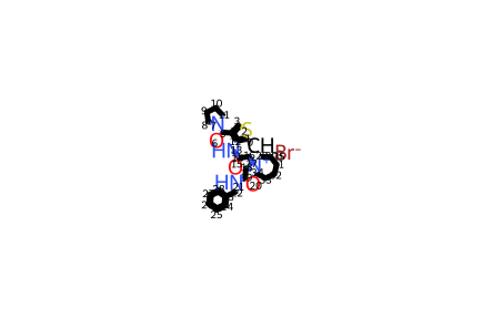 Cc1scc(C(=O)N2CCCC2)c1NC(=O)C[N+]1(CC(=O)NCc2ccccc2)CCCCCC1.[Br-]